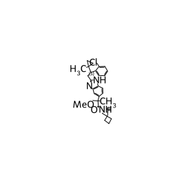 COCC(C)(C(=O)NCC1(F)CCC1)c1ccc2[nH]c(C[C@H](c3ccccc3Cl)C3(C)CC3)nc2c1